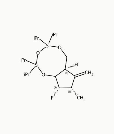 C=C1[C@@H]2CO[Si](C(C)C)(C(C)C)O[Si](C(C)C)(C(C)C)OC2[C@@H](F)[C@H]1C